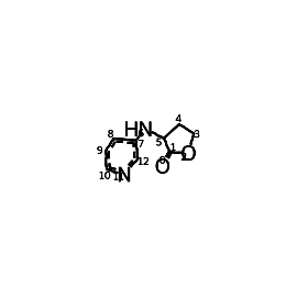 O=C1OCCC1Nc1cccnc1